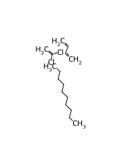 C=C(Cl)Cl.C=CC=C.CCCCCCCCCC